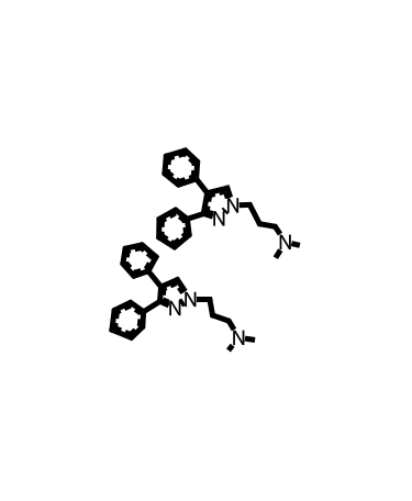 CN(C)CCCn1cc(-c2ccccc2)c(-c2ccccc2)n1.CN(C)CCCn1cc(-c2ccccc2)c(-c2ccccc2)n1